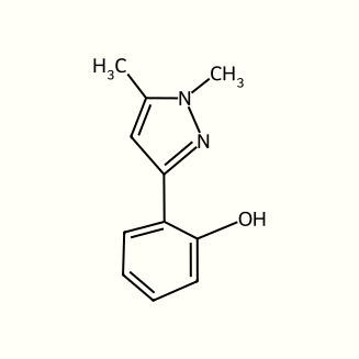 Cc1cc(-c2ccccc2O)nn1C